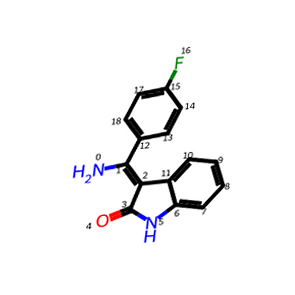 N/C(=C1\C(=O)Nc2ccccc21)c1ccc(F)cc1